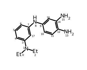 CCN(CC)c1cccc(Nc2ccc(N)c(N)c2)c1